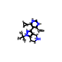 [2H]C([2H])([2H])n1nc(-c2c(OC)ncnc2C2CC2)c2c1CCNC2